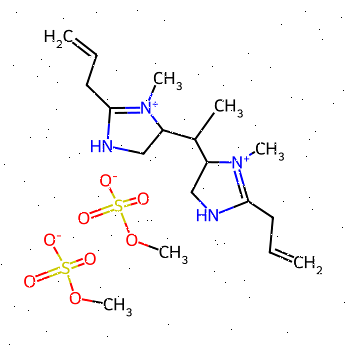 C=CCC1=[N+](C)C(C(C)C2CNC(CC=C)=[N+]2C)CN1.COS(=O)(=O)[O-].COS(=O)(=O)[O-]